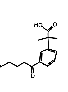 CC(C)(C(=O)O)c1cccc(C(=O)CCCCl)c1